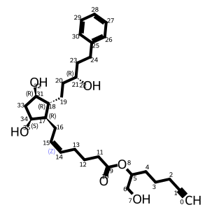 C#CCCCC(CO)OC(=O)CCC/C=C\C[C@@H]1[C@@H](CC[C@@H](O)CCc2ccccc2)[C@H](O)C[C@@H]1O